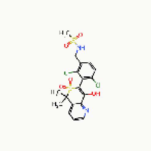 CC1(C)c2cccnc2C(O)=C(c2c(Cl)ccc(CNS(C)(=O)=O)c2Cl)S1(=O)=O